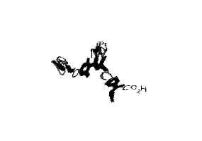 CC#CC(CC(=O)O)c1ccc(OCc2cc(-c3c(C)cc(OCCCS(C)(=O)=O)cc3C)c3nc(C(C)C)nn3c2)cc1